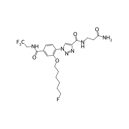 NC(=O)CCNC(=O)c1cn(-c2ccc(C(=O)NCC(F)(F)F)cc2OCCCCCCF)nn1